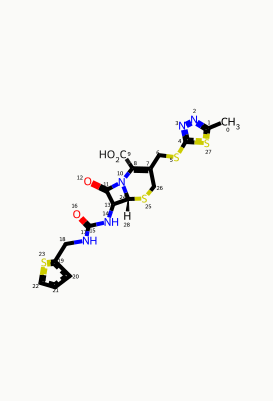 Cc1nnc(SCC2=C(C(=O)O)N3C(=O)C(NC(=O)NCc4cccs4)[C@H]3SC2)s1